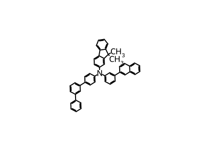 CC1(C)c2ccccc2-c2ccc(N(c3ccc(-c4cccc(-c5ccccc5)c4)cc3)c3cccc(-c4ccc5ccccc5c4)c3)cc21